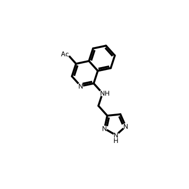 CC(=O)c1cnc(NCc2cn[nH]n2)c2ccccc12